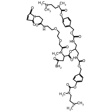 BC(=O)CC(C(=O)OC(CNC(=O)OCc1ccc(OC(=O)N(C)CCN(C)C)cc1)CNC(=O)OCc1ccc(OC(=O)N(C)CCN(C)C)cc1)N(C)C(=O)COCCOCCNC(=O)CCN1C(=O)C=CC1=O